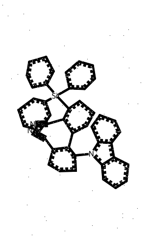 N#Cc1cccc(-n2c3ccccc3c3ccccc32)c1-c1cccc([Si](c2ccccc2)(c2ccccc2)c2ccccc2)c1C#N